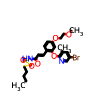 CCCCCS(=O)(=O)NC(=O)C=Cc1ccc(OCCOC)cc1Oc1ncc(Br)cc1C